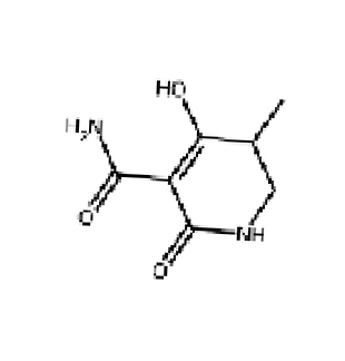 CC1CNC(=O)C(C(N)=O)=C1O